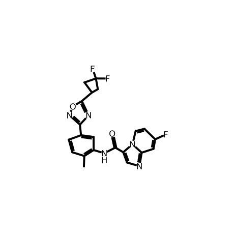 Cc1ccc(-c2noc(C3CC(F)(F)C3)n2)cc1NC(=O)c1cnc2cc(F)ccn12